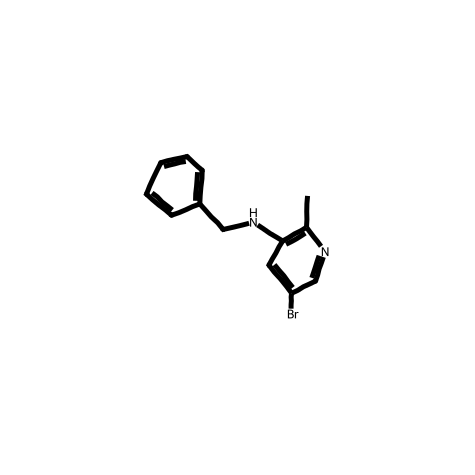 Cc1ncc(Br)cc1NCc1ccccc1